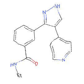 CCNC(=O)c1cccc(-c2n[nH]cc2-c2ccncc2)c1